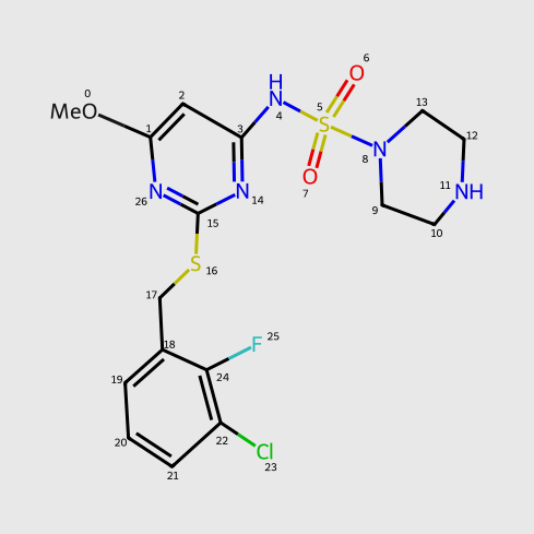 COc1cc(NS(=O)(=O)N2CCNCC2)nc(SCc2cccc(Cl)c2F)n1